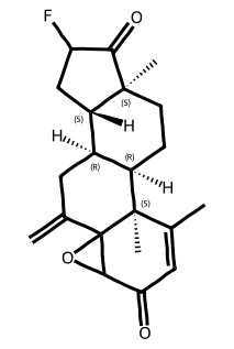 C=C1C[C@@H]2[C@@H](CC[C@]3(C)C(=O)C(F)C[C@@H]23)[C@@]2(C)C(C)=CC(=O)C3OC132